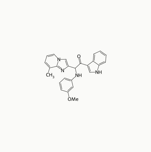 COc1cccc(NC(C(=O)c2c[nH]c3ccccc23)c2cn3cccc(C)c3n2)c1